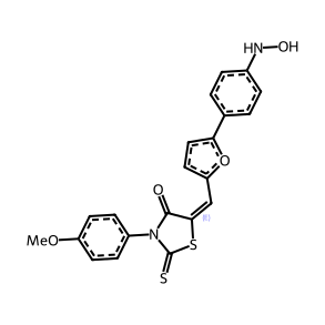 COc1ccc(N2C(=O)/C(=C\c3ccc(-c4ccc(NO)cc4)o3)SC2=S)cc1